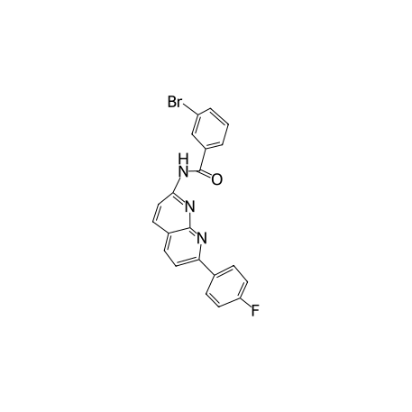 O=C(Nc1ccc2ccc(-c3ccc(F)cc3)nc2n1)c1cccc(Br)c1